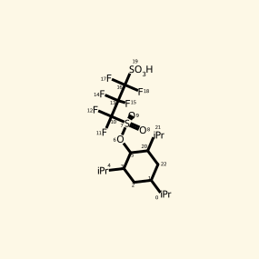 CC(C)C1CC(C(C)C)C(OS(=O)(=O)C(F)(F)C(F)(F)C(F)(F)S(=O)(=O)O)C(C(C)C)C1